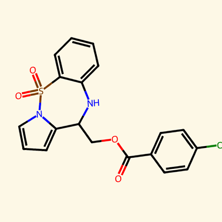 O=C(OCC1Nc2ccccc2S(=O)(=O)n2cccc21)c1ccc(Cl)cc1